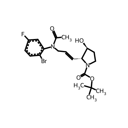 CC(=O)N(CC=C[C@@H]1[C@@H](O)CCN1C(=O)OC(C)(C)C)c1cc(F)ccc1Br